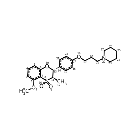 COc1cccc2c1S(=O)(=O)[C@H](C)[C@@H](c1ccc(OCCCN3CCCCC3)cc1)O2